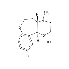 CN1CCO[C@H]2c3cc(F)ccc3OCC[C@@H]21.Cl